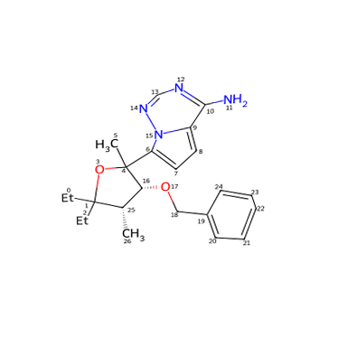 CCC1(CC)OC(C)(c2ccc3c(N)ncnn23)[C@H](OCc2ccccc2)[C@@H]1C